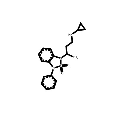 CC(CCNC1CC1)N1c2ccccc2N(c2ccccc2)S1(=O)=O